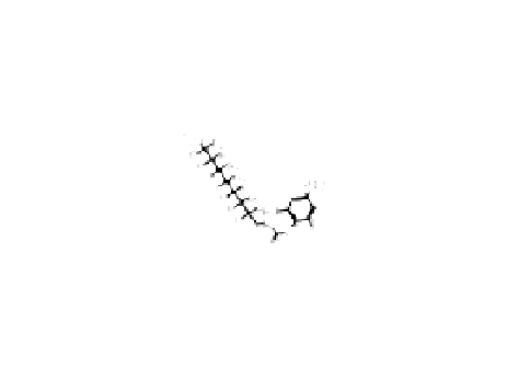 CCC(C)c1cc([N+](=O)[O-])cc([N+](=O)[O-])c1OC(=O)OCC(F)(F)C(F)(F)C(F)(F)C(F)(F)C(F)(F)C(F)(F)C(F)(F)C(F)(F)F